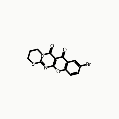 O=c1c2cc(Br)ccc2oc2nc3n(c(=O)c12)CCCS3